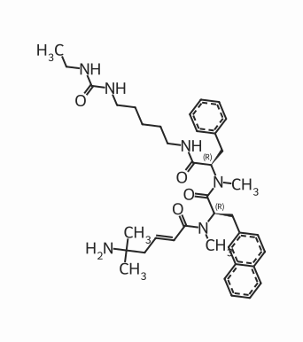 CCNC(=O)NCCCCCNC(=O)[C@@H](Cc1ccccc1)N(C)C(=O)[C@@H](Cc1ccc2ccccc2c1)N(C)C(=O)C=CCC(C)(C)N